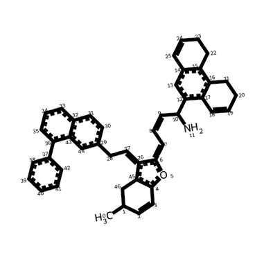 CC1C=Cc2oc(=C/C=C\C(N)c3cc4c(c5c3C=CCC5)CCC=C4)/c(=C/Cc3ccc4cccc(-c5ccccc5)c4c3)c2C1